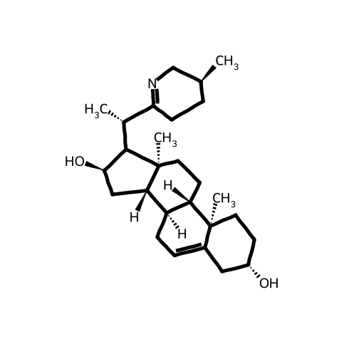 C[C@H]1CCC([C@@H](C)C2[C@H](O)C[C@H]3[C@@H]4CC=C5C[C@@H](O)CC[C@]5(C)[C@H]4CC[C@]23C)=NC1